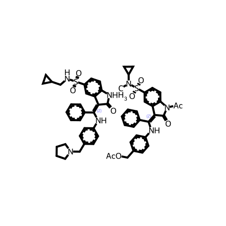 CC(=O)OCc1ccc(N/C(=C2\C(=O)N(C(C)=O)c3ccc(S(=O)(=O)N(C)C4CC4)cc32)c2ccccc2)cc1.O=C1Nc2ccc(S(=O)(=O)NCC3CC3)cc2/C1=C(/Nc1ccc(CN2CCCC2)cc1)c1ccccc1